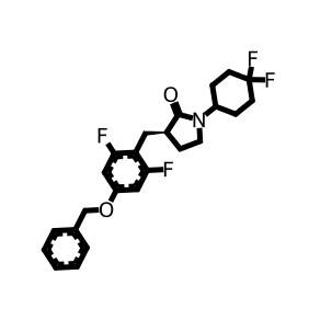 O=C1[C@H](Cc2c(F)cc(OCc3ccccc3)cc2F)CCN1C1CCC(F)(F)CC1